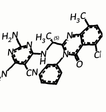 Cc1ccc(Cl)c2c(=O)n(-c3ccccc3)c([C@H](C)Nc3nc(N)nc(N)c3C#N)nc12